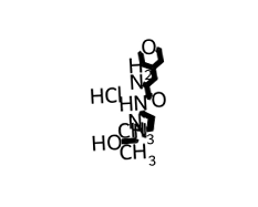 CC(C)(O)Cn1ccc(NC(=O)C(N)CC2CCOCC2)n1.Cl